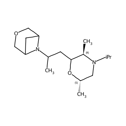 CC(CC1O[C@@H](C)CN(C(C)C)[C@@H]1C)N1C2COCC1C2